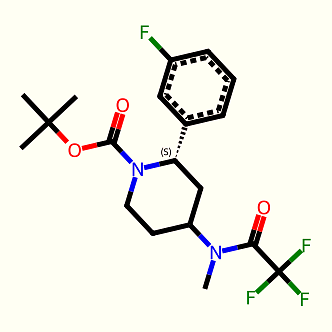 CN(C(=O)C(F)(F)F)C1CCN(C(=O)OC(C)(C)C)[C@H](c2cccc(F)c2)C1